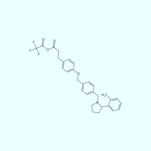 Cc1ccccc1C1CCCN1Cc1ccc(COc2ccc(CCC(=O)OC(=O)C(F)(F)F)cc2)cc1